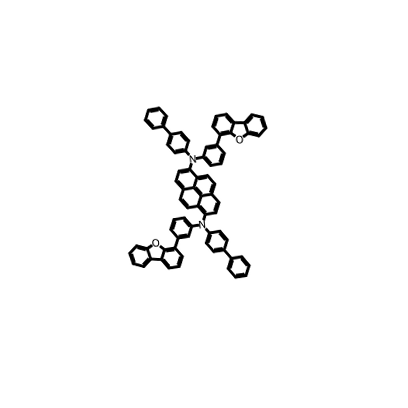 c1ccc(-c2ccc(N(c3cccc(-c4cccc5c4oc4ccccc45)c3)c3ccc4ccc5c(N(c6ccc(-c7ccccc7)cc6)c6cccc(-c7cccc8c7oc7ccccc78)c6)ccc6ccc3c4c65)cc2)cc1